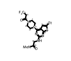 CCc1cc2c(N3CCN(C(=O)CC(F)(F)F)CC3)nc(NCC(=O)NC)nc2s1